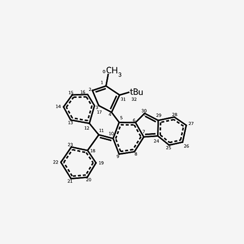 CC1=CCC(c2c3c(ccc2=C(c2ccccc2)c2ccccc2)=c2ccccc2=[C]3)=C1C(C)(C)C